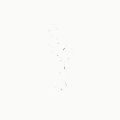 CCC(Oc1ccc(C(Cc2ccsc2)=NOCc2ccc(C(F)(F)F)cc2)cc1C)C(=O)O